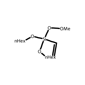 C=C[Si](OCCCCCC)(OCCCCCC)OOC